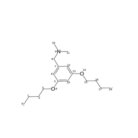 [CH2]CCCOc1cc(CN(C)C)cc(OCCC[CH2])c1